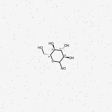 O=NC1O[C@H](CO)[C@@H](O)[C@H](O)[C@H]1O